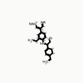 C=CC1=CC=C(C(CC(C)C)Nc2ccc(/C(C=N)=C/NC)cc2CN)CC1